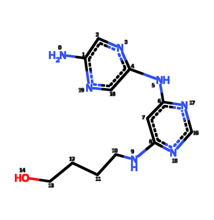 Nc1cnc(Nc2cc(NCCCCO)ncn2)cn1